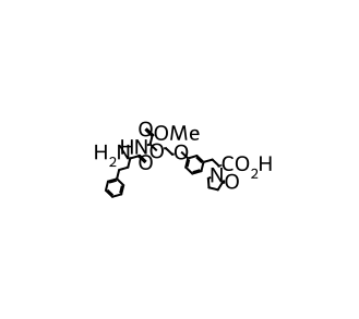 COC(=O)C(NC(=O)[C@@H](N)CCc1ccccc1)OCCOc1cccc(C[C@@H](C(=O)O)N2CCCC2=O)c1